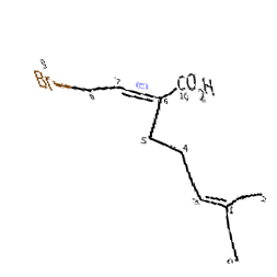 CC(C)=CCC/C(=C\CBr)C(=O)O